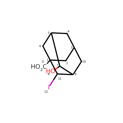 O=C(O)C12CC3CC(C1)C(O)C(C3)C2I